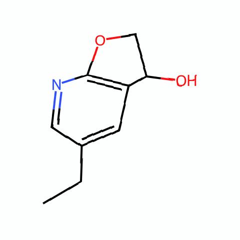 CCc1cnc2c(c1)C(O)CO2